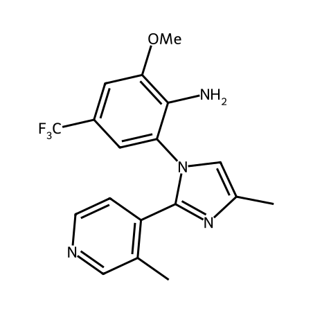 COc1cc(C(F)(F)F)cc(-n2cc(C)nc2-c2ccncc2C)c1N